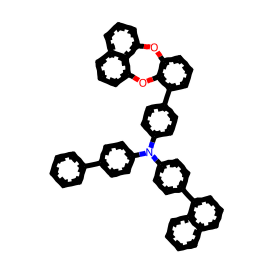 c1ccc(-c2ccc(N(c3ccc(-c4cccc5c4Oc4cccc6cccc(c46)O5)cc3)c3ccc(-c4cccc5ccccc45)cc3)cc2)cc1